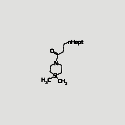 CCCCCCCCCC(=O)N1CC[Si](C)(C)CC1